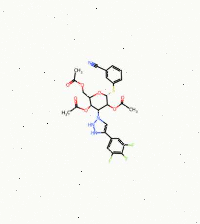 CC(=O)OCC1O[C@H](Sc2cccc(C#N)c2)C(OC(C)=O)C(N2C=C(c3cc(F)c(F)c(F)c3)NN2)[C@H]1OC(C)=O